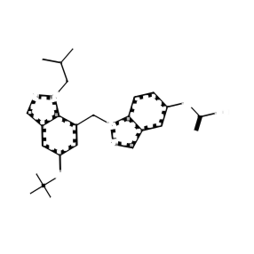 CC(C)Cn1ncc2cc(OC(F)(F)F)cc(Cn3ncc4cc(OC(=O)O)ccc43)c21